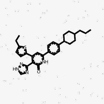 CCCC1CCC(c2ccc(-c3cc(-c4ccc(CC)s4)c(-c4nc[nH]n4)c(=O)[nH]3)cc2)CC1